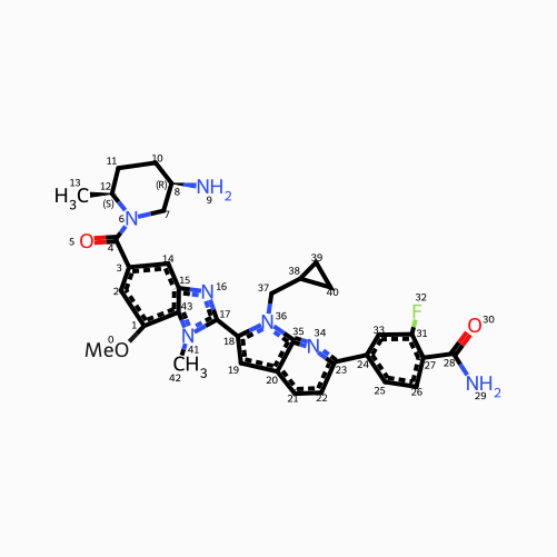 COc1cc(C(=O)N2C[C@H](N)CC[C@@H]2C)cc2nc(-c3cc4ccc(-c5ccc(C(N)=O)c(F)c5)nc4n3CC3CC3)n(C)c12